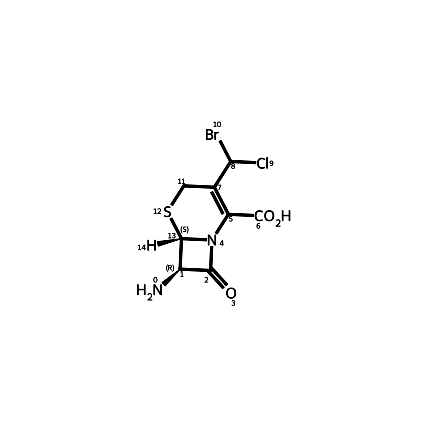 N[C@@H]1C(=O)N2C(C(=O)O)=C(C(Cl)Br)CS[C@@H]12